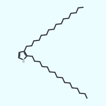 CCCCCCCCCCCCCCCCc1cc[nH]c1CCCCCCCCCCCCCCCC